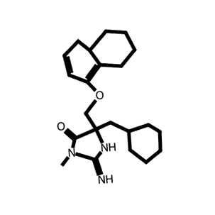 CN1C(=N)NC(COC2=C3CCCCC3CC=C2)(CC2CCCCC2)C1=O